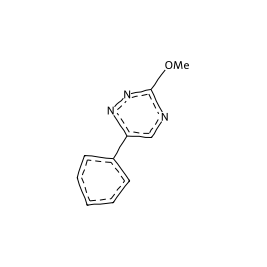 COc1ncc(-c2ccccc2)nn1